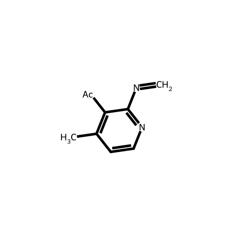 C=Nc1nccc(C)c1C(C)=O